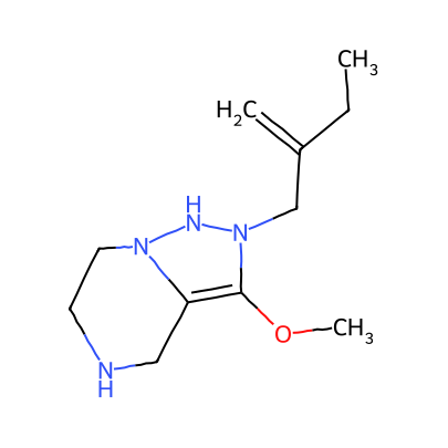 C=C(CC)CN1NN2CCNCC2=C1OC